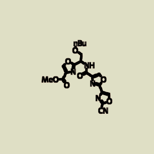 CCCCOCC(NC(=O)c1coc(-c2coc(C#N)n2)n1)c1nc(C(=O)OC)co1